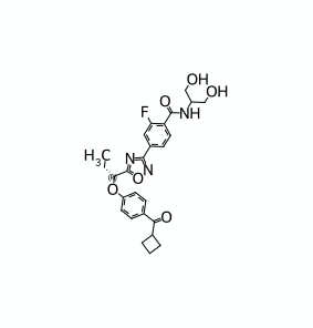 CC[C@@H](Oc1ccc(C(=O)C2CCC2)cc1)c1nc(-c2ccc(C(=O)NC(CO)CO)c(F)c2)no1